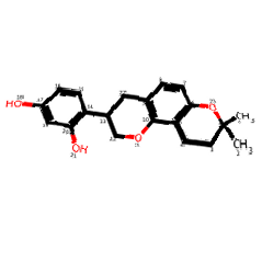 CC1(C)CCc2c(ccc3c2OCC(c2ccc(O)cc2O)C3)O1